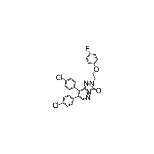 O=c1n(CCOc2ccc(F)cc2)nc2c(-c3ccc(Cl)cc3)c(-c3ccc(Cl)cc3)cnn12